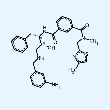 Cc1csc(CN(C)C(=O)c2cccc(C(=O)N[C@@H](Cc3ccccc3)[C@H](O)CNCc3cccc(N)c3)c2)n1